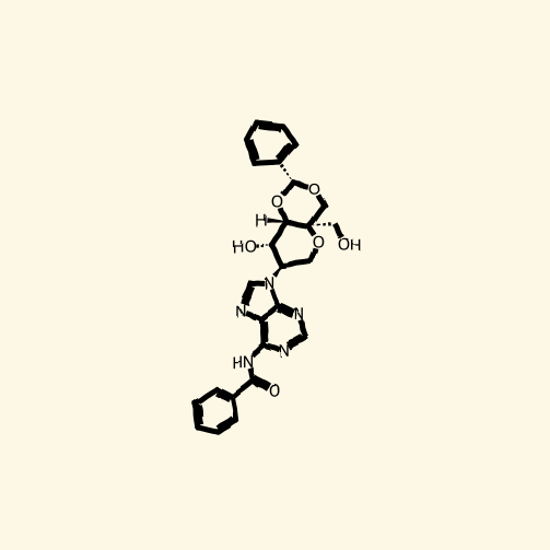 O=C(Nc1ncnc2c1ncn2[C@@H]1CO[C@]2(CO)CO[C@@H](c3ccccc3)O[C@H]2[C@H]1O)c1ccccc1